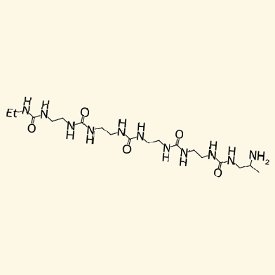 CCNC(=O)NCCNC(=O)NCCNC(=O)NCCNC(=O)NCCNC(=O)NCC(C)N